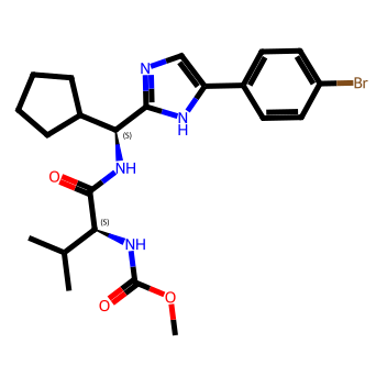 COC(=O)N[C@H](C(=O)N[C@H](c1ncc(-c2ccc(Br)cc2)[nH]1)C1CCCC1)C(C)C